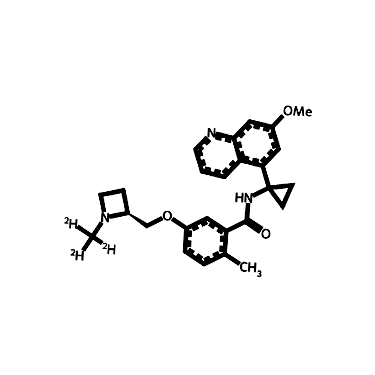 [2H]C([2H])([2H])N1CC[C@H]1COc1ccc(C)c(C(=O)NC2(c3cc(OC)cc4ncccc34)CC2)c1